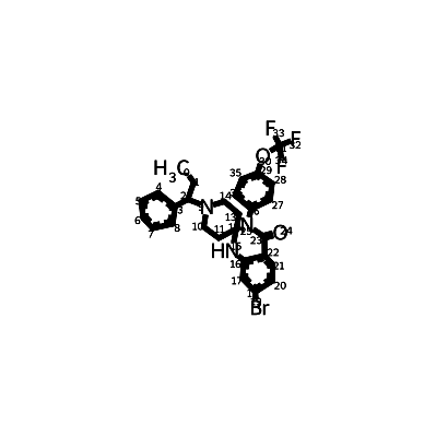 CCC(c1ccccc1)N1CCC2(CC1)Nc1cc(Br)ccc1C(=O)N2c1ccc(OC(F)(F)F)cc1